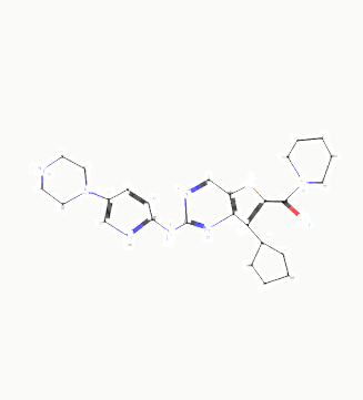 O=C(c1sc2cnc(Nc3ccc(N4CCNCC4)cn3)nc2c1C1CCCC1)N1CCCCC1